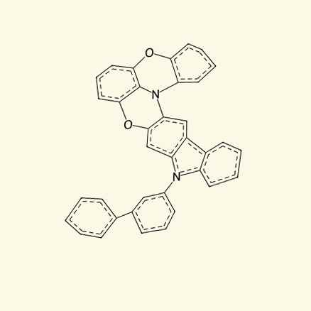 c1ccc(-c2cccc(-n3c4ccccc4c4cc5c(cc43)Oc3cccc4c3N5c3ccccc3O4)c2)cc1